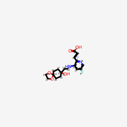 O=C(O)/C=C/c1ncc(F)cc1NCCC1(O)CCC2(CC1)OCCO2